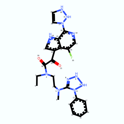 CCN(CCN(C)C1=NNNN1c1ccccc1)C(=O)C(=O)c1c[nH]c2c(N3C=CNN3)ncc(F)c12